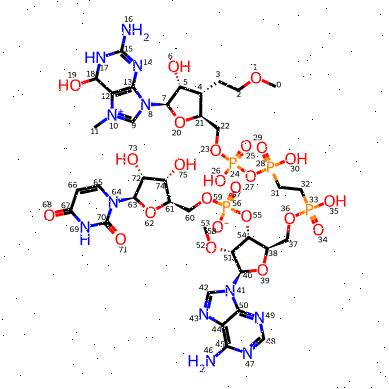 COCC[C@H]1[C@@H](O)[C@H](n2c[n+](C)c3c2N=C(N)NC3O)O[C@@H]1COP(=O)(O)OP(=O)(O)CCP(=O)(O)OC[C@H]1O[C@@H](n2cnc3c(N)ncnc32)[C@H](OC)[C@@H]1OP(=O)([O-])OC[C@H]1O[C@@H](n2ccc(=O)[nH]c2=O)[C@H](O)[C@@H]1O